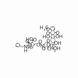 COc1cccc2c1C(=O)c1c(O)c3c(c(O)c1C2=O)C[C@@](O)(C(=O)CO)C[C@@H]3OC1CC2C(OCN2C(=O)OCC2=CS[C@@H]3[C@H](NCCc4ccccc4)C(=O)N3C2C(=O)O)C(C)O1